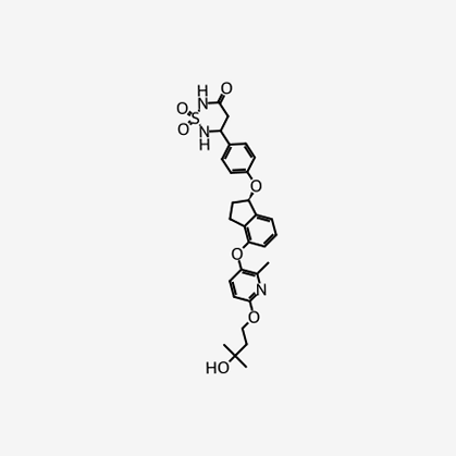 Cc1nc(OCCC(C)(C)O)ccc1Oc1cccc2c1CC[C@H]2Oc1ccc(C2CC(=O)NS(=O)(=O)N2)cc1